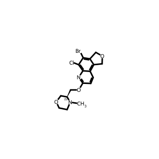 CN1CCOC[C@H]1COc1ccc2c3c(c(Br)c(Cl)c2n1)COC3